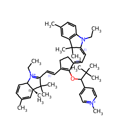 CCN1/C(=C/C=C2\CCC(/C=C/C3=[N+](CC)C4C=CC(C)=C[C@@]4(C)C3(C)C)=C2OC(c2cc[n+](C)cc2)C(C)(C)C)C(C)(C)c2cc(C)ccc21